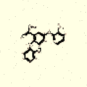 COC(=O)c1cc(Oc2ncccc2C(F)(F)F)ccc1Nc1ccccc1Cl